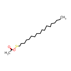 CCCCCCCCCCCCCCCCCCSOC(C)=O